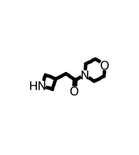 O=C(CC1CNC1)N1CCOCC1